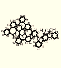 CC1(C)c2ccccc2-c2cc3c4ccccc4n(-c4ccc(-c5ccc6c(c5)C57CC8CC9(CCC%10CC(CC(C5)c5ccccc5-6)(c5ccccc5-c5ccccc5%10)C97)c5ccccc5-c5ccccc58)cc4)c3cc21